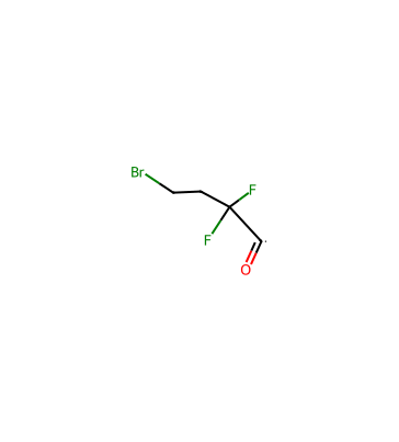 O=[C]C(F)(F)CCBr